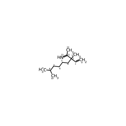 C=CC(C)(CCCCC(C)C)C(C)=N